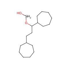 O[SiH2]OC(CCC1CCCCCC1)C1CCCCCC1